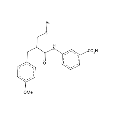 COc1ccc(CC(CSC(C)=O)C(=O)Nc2cccc(C(=O)O)c2)cc1